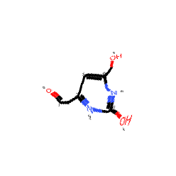 O=[C]c1cc(O)nc(O)n1